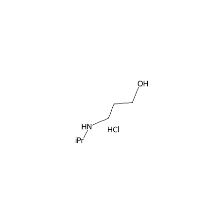 CC(C)NCCCO.Cl